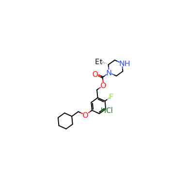 CC[C@@H]1CNCCN1C(=O)OCc1cc(OCC2CCCCC2)ccc1F.Cl